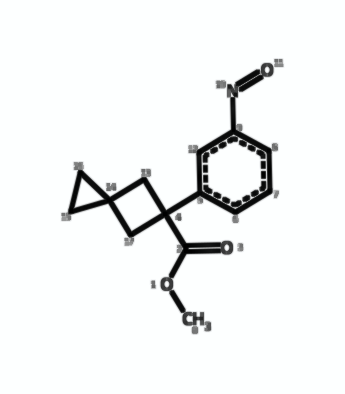 COC(=O)C1(c2cccc(N=O)c2)CC2(CC2)C1